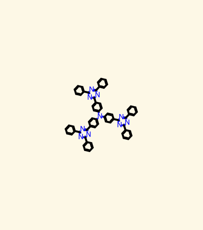 c1ccc(-c2nc(-c3ccccc3)nc(-c3ccc(N(c4ccc(-c5nc(-c6ccccc6)nc(-c6ccccc6)n5)cc4)c4ccc(-c5nc(-c6ccccc6)nc(-c6ccccc6)n5)cc4)cc3)n2)cc1